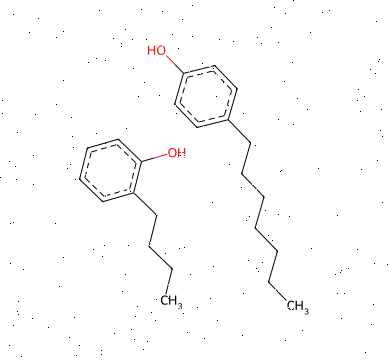 CCCCCCCc1ccc(O)cc1.CCCCc1ccccc1O